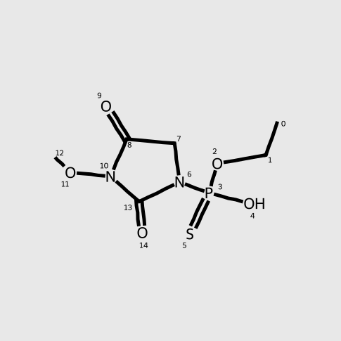 CCOP(O)(=S)N1CC(=O)N(OC)C1=O